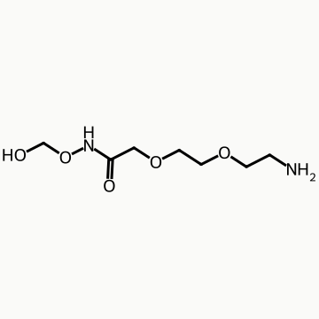 NCCOCCOCC(=O)NOCO